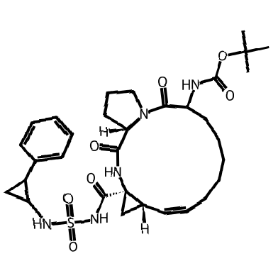 CC(C)(C)OC(=O)NC1CCCCC/C=C\[C@@H]2C[C@@]2(C(=O)NS(=O)(=O)NC2CC2c2ccccc2)NC(=O)[C@@H]2CCCN2C1=O